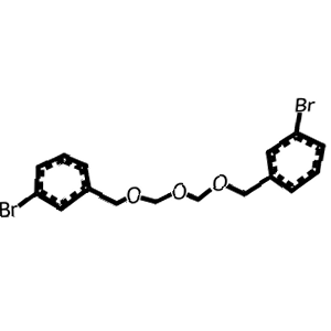 Brc1cccc(COCOCOCc2cccc(Br)c2)c1